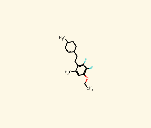 CCOc1cc(C)c(CCC2CCC(C)CC2)c(F)c1F